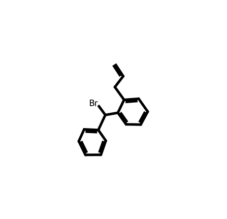 C=CCc1ccccc1C(Br)c1ccccc1